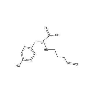 O=CCCCN[C@H](Cc1ccc(O)cc1)C(=O)O